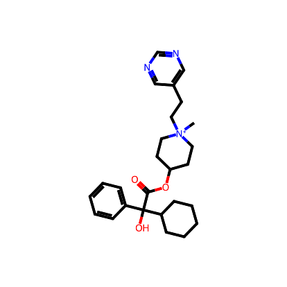 C[N+]1(CCc2cncnc2)CCC(OC(=O)C(O)(c2ccccc2)C2CCCCC2)CC1